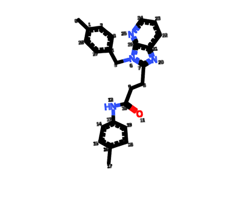 Cc1ccc(Cn2c(CCC(=O)Nc3ccc(C)cc3)nc3cccnc32)cc1